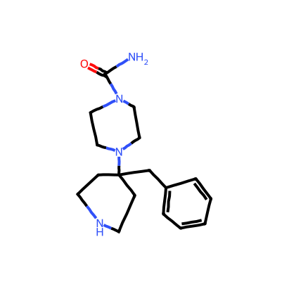 NC(=O)N1CCN(C2(Cc3ccccc3)CCNCC2)CC1